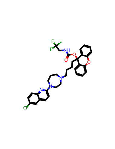 O=C(NCC(F)(F)F)OC1(CCCCN2CCCN(c3ccc4cc(Cl)ccc4n3)CC2)c2ccccc2Oc2ccccc21